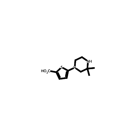 CC1(C)CN(c2ccc(C(=O)O)s2)CCN1